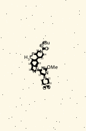 COc1nc(N2CCS(=O)(=O)CC2)cc(-n2ncc3cc(C)c(C4CCN(C(=O)OC(C)(C)C)CC4F)cc32)n1